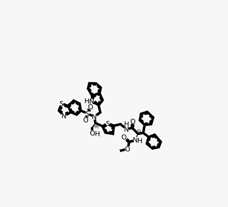 COC(=O)N[C@H](C(=O)NCc1ccc([C@@H](CO)N(Cc2cc3ccccc3[nH]2)S(=O)(=O)c2ccc3scnc3c2)s1)C(c1ccccc1)c1ccccc1